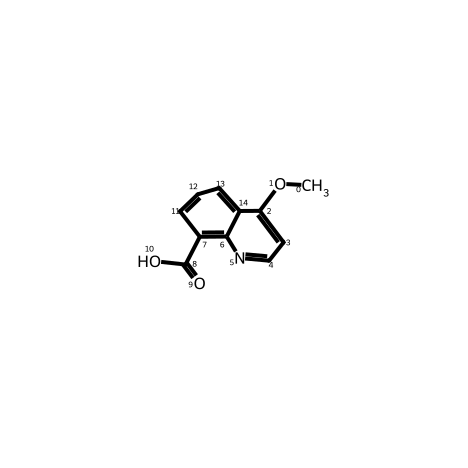 COc1ccnc2c(C(=O)O)cccc12